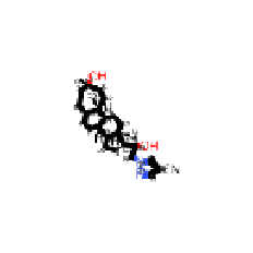 C[C@]1(O)CCC2=CC[C@H]3[C@@H]4CC[C@H]([C@](C)(O)Cn5cc(C#N)cn5)[C@@]4(C)CC[C@@H]3[C@@]2(C)CC1